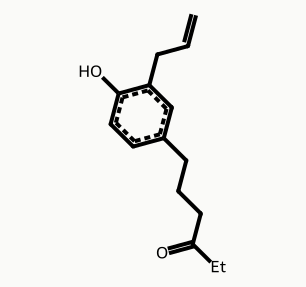 C=CCc1cc(CCCC(=O)CC)ccc1O